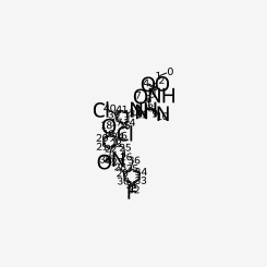 CCOC(=O)NC(=O)C(C#N)=NNc1cc(Cl)c(Oc2ccc3c(c2)CCN(Cc2cc(F)ccc2C)C3=O)c(Cl)c1